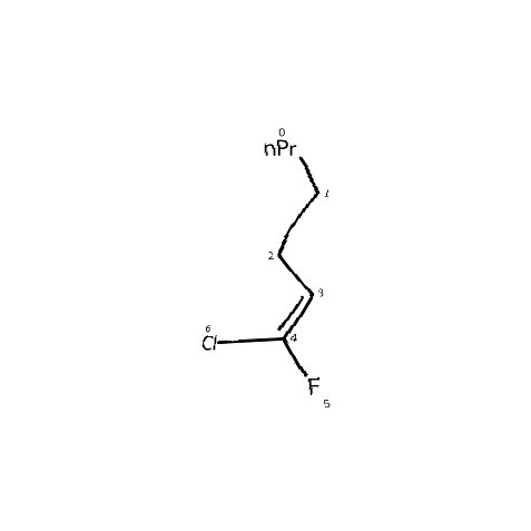 CCCCCC=C(F)Cl